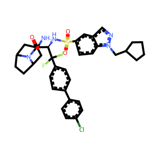 NC1CC2CCC(C1)N2C(=O)[C@@H](NS(=O)(=O)c1ccc2c(cnn2CC2CCCC2)c1)C(F)(F)c1ccc(-c2ccc(Cl)cc2)cc1